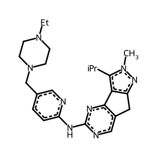 CCN1CCN(Cc2ccc(Nc3ncc4c(n3)-c3c(nn(C)c3C(C)C)C4)nc2)CC1